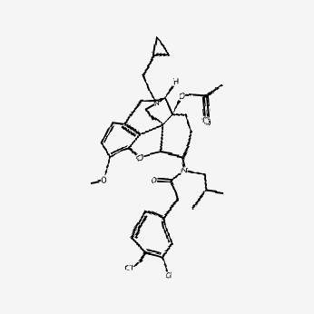 COc1ccc2c3c1OC1C(N(CC(C)C)C(=O)Cc4ccc(Cl)c(Cl)c4)CC[C@@]4(OC(C)=O)[C@@H](C2)N(CC2CC2)CC[C@]314